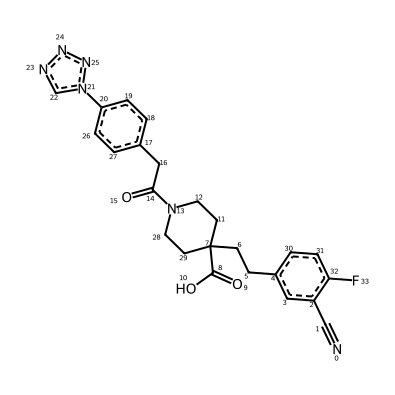 N#Cc1cc(CCC2(C(=O)O)CCN(C(=O)Cc3ccc(-n4cnnn4)cc3)CC2)ccc1F